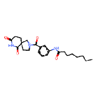 CCCCCCCC(=O)Nc1cccc(C(=O)N2CCC3(CCC(=O)NC3=O)C2)c1